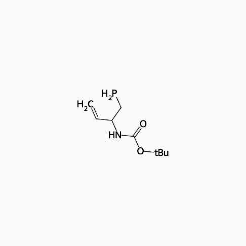 C=CC(CP)NC(=O)OC(C)(C)C